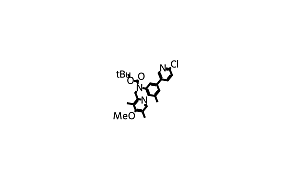 COc1c(C)cnc(CN(C(=O)OC(C)(C)C)c2cc(C)cc(-c3ccc(Cl)nc3)c2)c1C